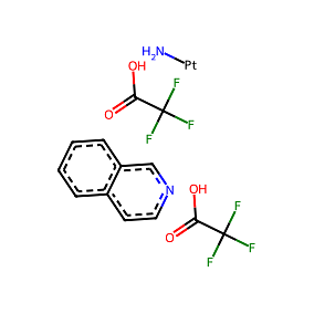 O=C(O)C(F)(F)F.O=C(O)C(F)(F)F.[NH2][Pt].c1ccc2cnccc2c1